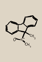 C[S+]([O-])C1(C)c2ccccc2-c2ccccc21